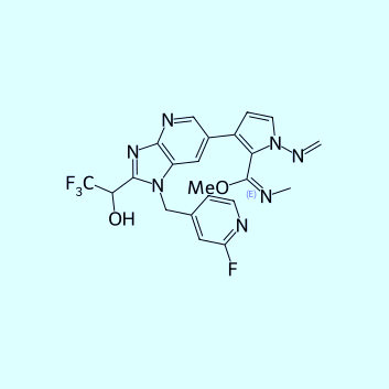 C=Nn1ccc(-c2cnc3nc(C(O)C(F)(F)F)n(Cc4ccnc(F)c4)c3c2)c1/C(=N\C)OC